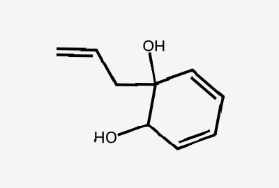 C=CCC1(O)C=CC=CC1O